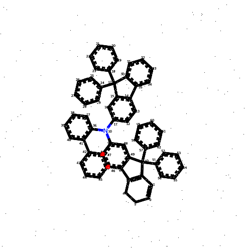 C1=CC2=C(CC1)c1ccc(N(c3ccc4c(c3)C(c3ccccc3)(c3ccccc3)c3ccccc3-4)c3ccccc3-c3ccccc3)cc1C2(c1ccccc1)c1ccccc1